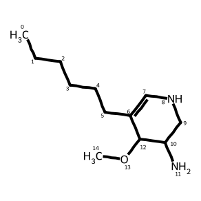 CCCCCCC1=CNCC(N)C1OC